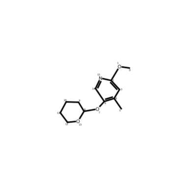 COc1cc(C)c(OC2CCCCO2)cn1